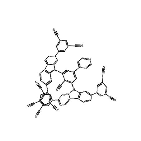 N#Cc1cc(C#N)cc(-c2ccc3c4ccc(-c5cc(C#N)cc(C#N)c5)cc4n(-c4cc(-c5ccncc5)cc(-n5c6cc(-c7cc(C#N)cc(C#N)c7)ccc6c6ccc(-c7cc(C#N)cc(C#N)c7)cc65)c4C#N)c3c2)c1